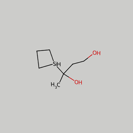 CC(O)(CCO)[SiH]1CCC1